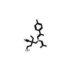 CCC(C#N)(CCO)CN(C=C(C)C)/C=C(\C)c1ccc(C)cc1